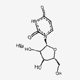 O=c1ccn([C@H]2O[C@@H](CO)C(O)C2O)c(=O)[nH]1.[NaH]